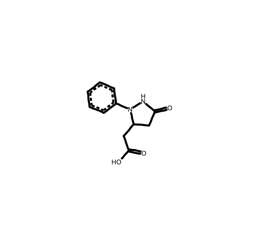 O=C(O)CC1CC(=O)NN1c1ccccc1